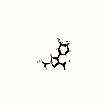 CCCC(CC)n1cc(C(C)=P)c(-c2ccc(CC)c(F)c2)n1